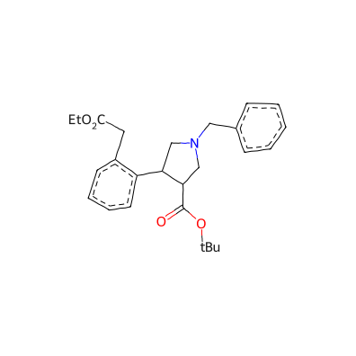 CCOC(=O)Cc1ccccc1C1CN(Cc2ccccc2)CC1C(=O)OC(C)(C)C